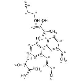 C=C(C)C(=O)O.C=C(C)C(=O)O.C=Cc1ccccc1.ClCC=Cc1ccccc1.OCCO